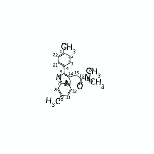 Cc1ccc(-c2nc3cc(C)ccn3c2CC(=O)N(C)C)cc1